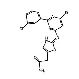 CCc1cc(/N=c2\[nH]cc(CC(N)=O)o2)nc(-c2cccc(Cl)c2)n1